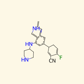 C=C/C=c1/cc(C2C=C(C#N)C(F)=CC2)cc(NC2CCNCC2)/c1=C/N